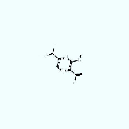 C=C(C)c1ncc(C(C)C)nc1NC